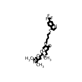 Cc1nn(C)c2oc(C(=O)N(C)Cc3cc(=O)c(OCCCCCSc4ccnc5cc(C(F)(F)F)ccc45)co3)cc12